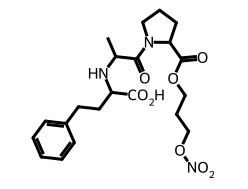 CC(NC(CCc1ccccc1)C(=O)O)C(=O)N1CCCC1C(=O)OCCCO[N+](=O)[O-]